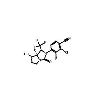 N#Cc1ccc(N2C(=O)N3CC[C@@H](O)[C@H]3[C@H]2C(F)(F)F)c(F)c1Cl